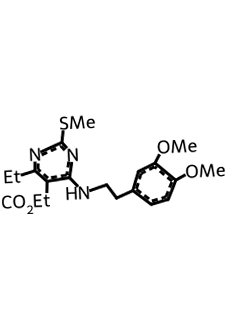 CCOC(=O)c1c(CC)nc(SC)nc1NCCc1ccc(OC)c(OC)c1